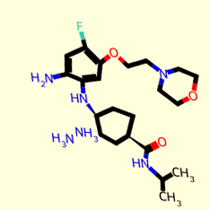 CC(C)NC(=O)[C@H]1CC[C@@H](Nc2cc(OCCN3CCOCC3)c(F)cc2N)CC1.N.N